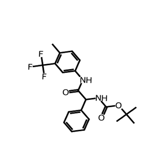 Cc1ccc(NC(=O)C(NC(=O)OC(C)(C)C)c2ccccc2)cc1C(F)(F)F